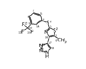 Cc1sc(Sc2cccc(C(F)(F)F)c2)nc1-c1c[nH]nn1